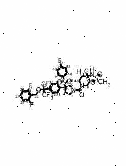 CC1(NS(C)(=O)=O)CCN(C(=O)N2CC[C@](c3ccc(C(OCc4c(F)cccc4F)(C(F)(F)F)C(F)(F)F)cc3)(S(=O)(=O)c3ccc(F)cc3)C2)CC1